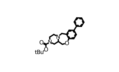 CC(C)(C)OC(=O)N1CCN2Cc3cc(-c4ccccc4)ccc3OCC2C1